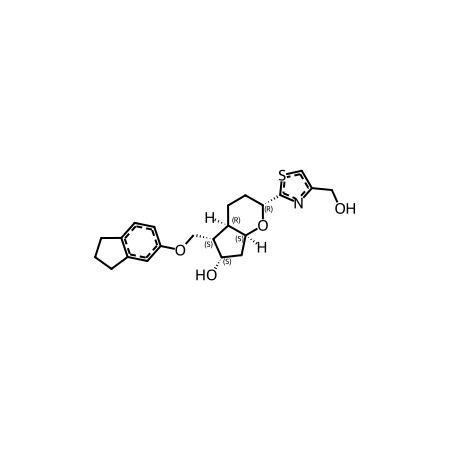 OCc1csc([C@H]2CC[C@@H]3[C@@H](COc4ccc5c(c4)CCC5)[C@@H](O)C[C@@H]3O2)n1